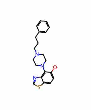 [O]c1ccc2scnc2c1N1CCN(CCCc2ccccc2)CC1